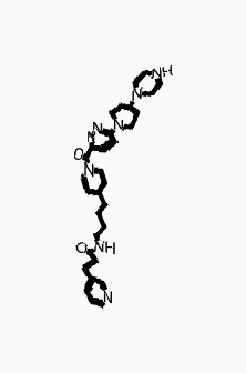 O=C(/C=C/c1cccnc1)NCCCCC1CCN(C(=O)c2ccc(N3CCC(N4CCNCC4)CC3)nn2)CC1